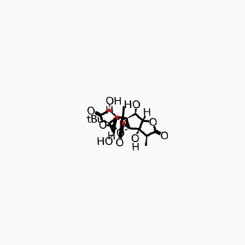 C[C@@H]1C(=O)O[C@H]2[C@H](O)[C@]34[C@@H]5OC(=O)[C@]3(O[C@@H]3OC(=O)[C@H](O)[C@@]34[C@H](C(C)(C)C)[C@H]5O)[C@@]12O